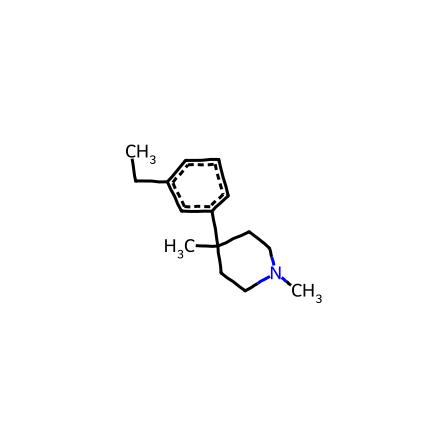 CCc1cccc(C2(C)CCN(C)CC2)c1